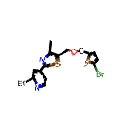 CCc1cc(-c2nc(C)c(COCc3ccc(Br)s3)s2)ccn1